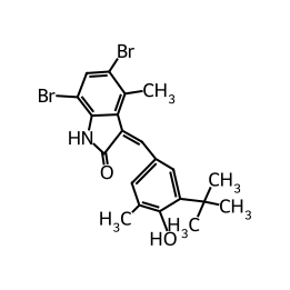 Cc1cc(C=C2C(=O)Nc3c(Br)cc(Br)c(C)c32)cc(C(C)(C)C)c1O